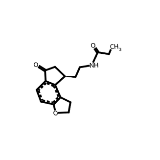 CCC(=O)NCC[C@@H]1CC(=O)c2ccc3c(c21)CCO3